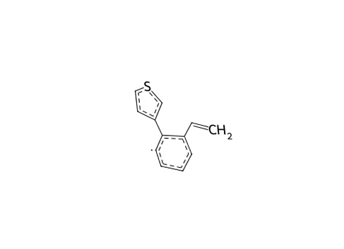 C=Cc1ccc[c]c1-c1ccsc1